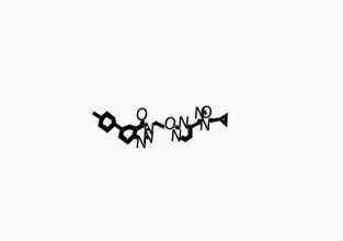 Cc1ccc(-c2ccc3nnn(CCOc4nccc(-c5noc(C6CC6)n5)n4)c(=O)c3c2)cc1